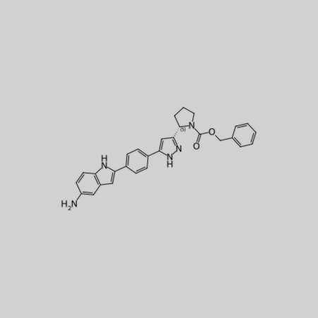 Nc1ccc2[nH]c(-c3ccc(-c4cc([C@@H]5CCCN5C(=O)OCc5ccccc5)n[nH]4)cc3)cc2c1